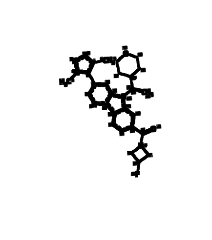 Cc1nnn(C)c1-c1cnc2c3ccc(C(=O)N4CC(F)C4)cc3n([C@H](C)C3CCOCC3)c2c1